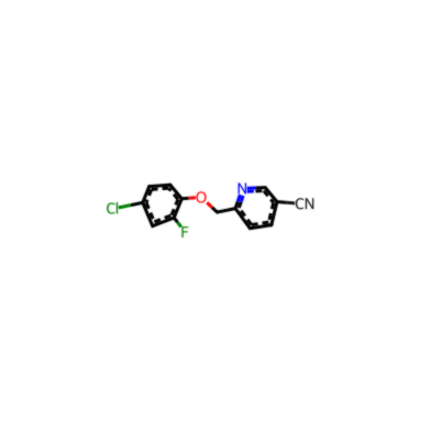 N#Cc1ccc(COc2ccc(Cl)cc2F)nc1